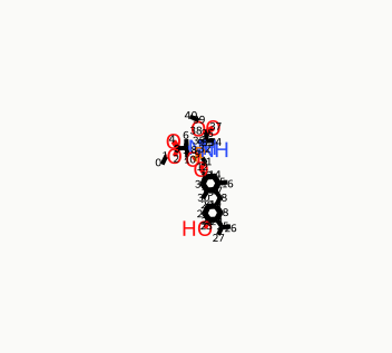 CCOC(=O)C(C)(C)NP(=O)(COc1cc(C)c(Cc2ccc(O)c(C(C)C)c2)c(C)c1)NC(C)(C)C(=O)OCC